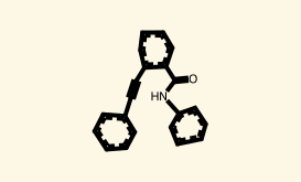 O=C(Nc1ccccc1)c1ccccc1C#Cc1ccccc1